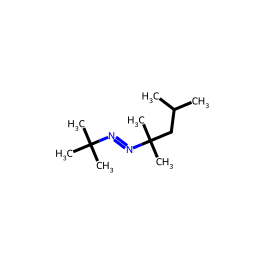 CC(C)CC(C)(C)N=NC(C)(C)C